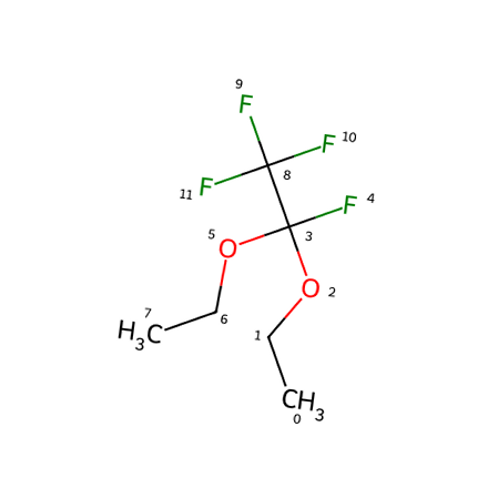 CCOC(F)(OCC)C(F)(F)F